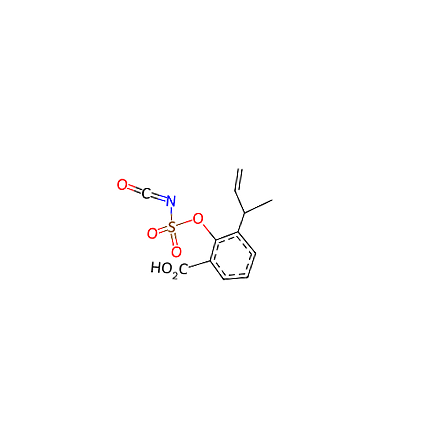 C=CC(C)c1cccc(C(=O)O)c1OS(=O)(=O)N=C=O